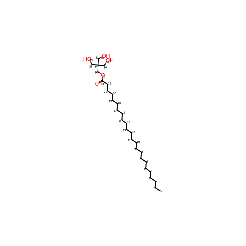 CCCCCCCCCCCCCCCCCCCCCCCC(=O)OCC(CO)(CO)CO